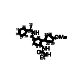 CCNC(=O)Nc1ccc(CN[C@H](C)c2ccccc2)cc1-c1ccc(OC)cc1